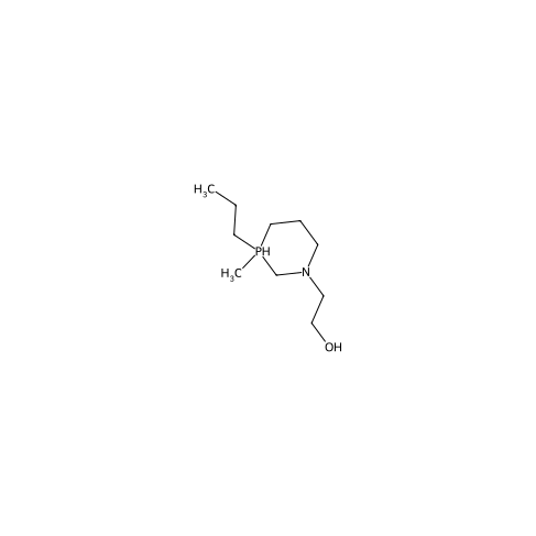 CCC[PH]1(C)CCCN(CCO)C1